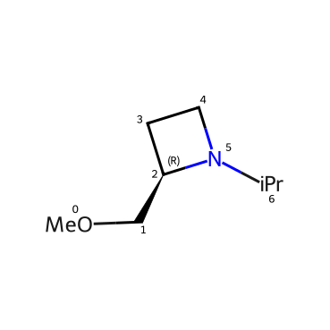 COC[C@H]1CCN1C(C)C